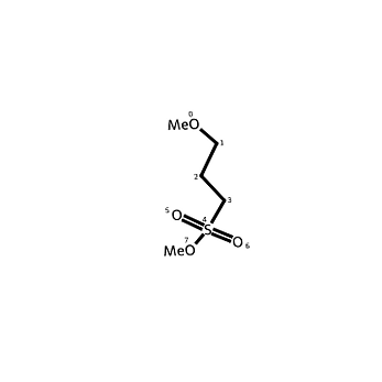 COCCCS(=O)(=O)OC